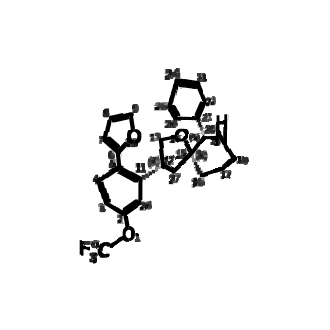 FC(F)(F)Oc1ccc(-c2ccco2)c([C@@H]2CO[C@]3(CCCN[C@H]3c3ccccc3)C2)c1